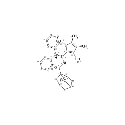 CC1=C(C)C(C)[C]([Zr]([NH]C(=O)C23CC4CC(CC2C4)C3)[GeH]([c]2ccccc2)[c]2ccccc2)=C1C